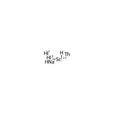 I.I.I.[NaH].[Sc].[Th]